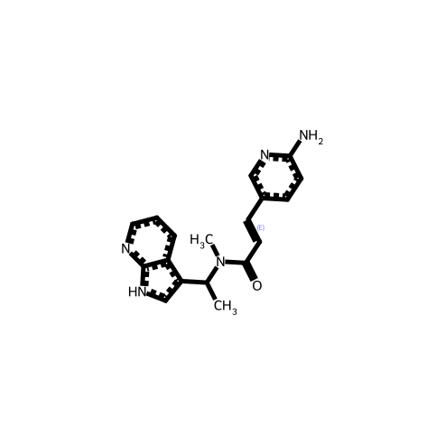 CC(c1c[nH]c2ncccc12)N(C)C(=O)/C=C/c1ccc(N)nc1